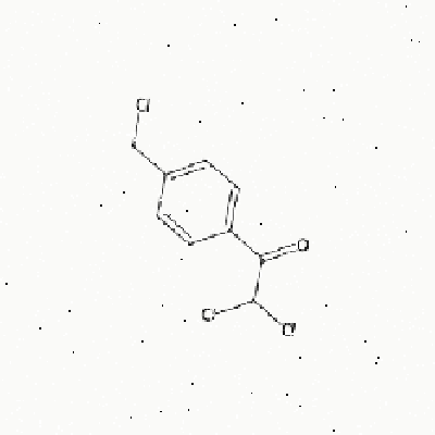 O=C(c1ccc(CCl)cc1)C(Cl)Cl